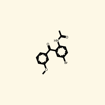 COc1cccc(C(=O)c2cc(Br)ccc2NC(C)=O)c1